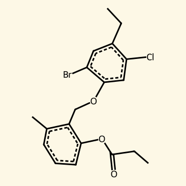 CCC(=O)Oc1cccc(C)c1COc1cc(Cl)c(CC)cc1Br